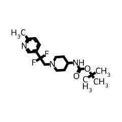 Cc1ccc(C(F)(F)CN2CCC(NC(=O)OC(C)(C)C)CC2)cn1